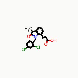 CC1C(=O)N(Cc2ccc(Cl)cc2Cl)c2c(C=CC(=O)O)cccc21